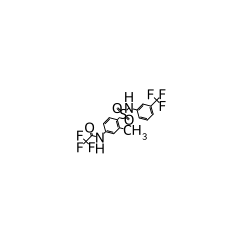 Cc1cc(NC(=O)C(F)(F)F)ccc1S(=O)(=O)Nc1cccc(C(F)(F)F)c1